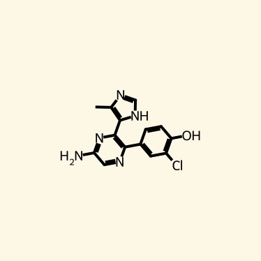 Cc1nc[nH]c1-c1nc(N)cnc1-c1ccc(O)c(Cl)c1